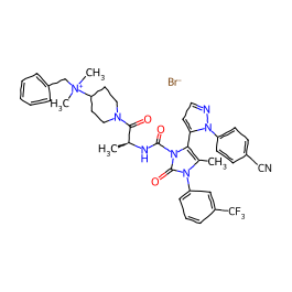 Cc1c(-c2ccnn2-c2ccc(C#N)cc2)n(C(=O)N[C@@H](C)C(=O)N2CCC([N+](C)(C)Cc3ccccc3)CC2)c(=O)n1-c1cccc(C(F)(F)F)c1.[Br-]